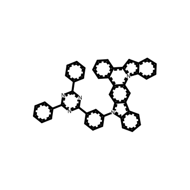 c1ccc(-c2nc(-c3ccccc3)nc(-c3cccc(-n4c5ccccc5c5cc6c(cc54)c4ccccc4c4cc5ccccc5n46)c3)n2)cc1